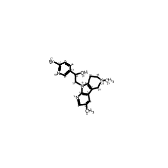 Cc1cnc2c(c1)c1c(n2CC(O)c2ccc(Br)nc2)CCN(C)C1